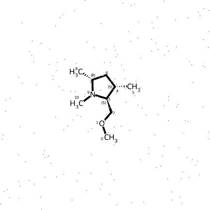 COC[C@@H]1[C@@H](C)C[C@@H](C)N1C